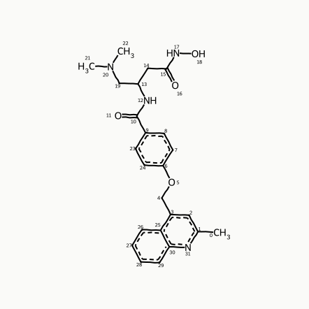 Cc1cc(COc2ccc(C(=O)NC(CC(=O)NO)CN(C)C)cc2)c2ccccc2n1